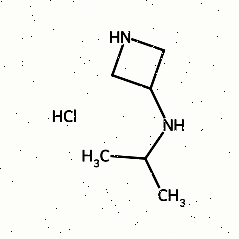 CC(C)NC1CNC1.Cl